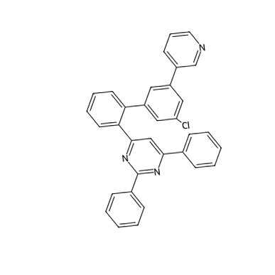 Clc1cc(-c2cccnc2)cc(-c2ccccc2-c2cc(-c3ccccc3)nc(-c3ccccc3)n2)c1